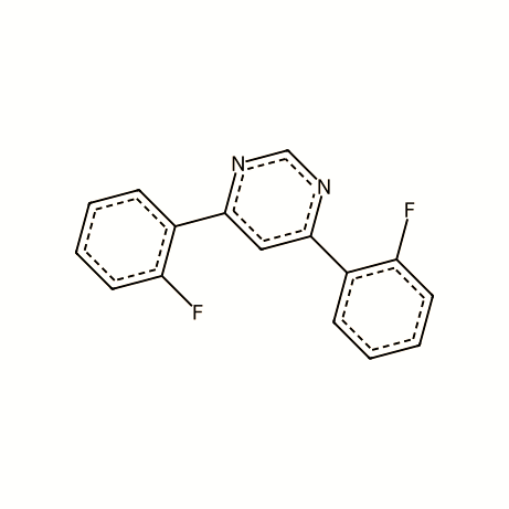 Fc1ccccc1-c1cc(-c2ccccc2F)ncn1